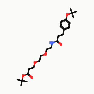 CC(C)(C)OC(=O)CCOCCOCCNC(=O)CCc1ccc(OC(C)(C)C)cc1